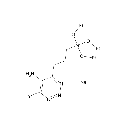 CCO[Si](CCCc1nnnc(S)c1N)(OCC)OCC.[Na]